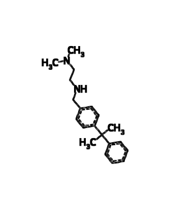 CN(C)CCNCc1ccc(C(C)(C)c2ccccc2)cc1